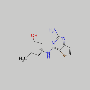 CCC[C@@H](CCO)Nc1nc(N)nc2ccsc12